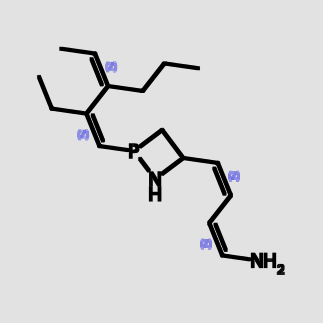 C/C=C(CCC)\C(=C/P1CC(/C=C\C=C/N)N1)CC